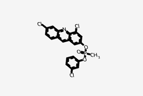 CP(=O)(Oc1cccc(Cl)c1)Oc1cc(Cl)c2nc3cc(Cl)ccc3cc2c1